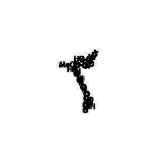 COc1ncc(-c2ccnc(N3CCn4c(cc5c4CC(C)(C)C5)C3=O)c2C(C)(C)O)cc1Nc1ccc(N2CCN(C3CCN(c4ccc5c(c4)CN([C@H]4CCC(=O)NC4=O)C5=O)CC3)C[C@@H]2C)cn1